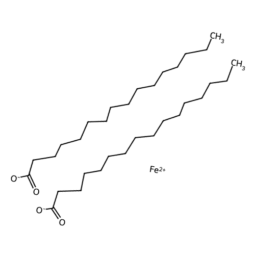 CCCCCCCCCCCCCCCC(=O)[O-].CCCCCCCCCCCCCCCC(=O)[O-].[Fe+2]